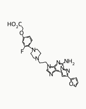 Nc1nc2c(ncn2CCN2CCN(c3ccc(OCC(=O)O)cc3F)CC2)c2cc(-c3ccco3)nn12